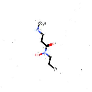 CC(C)CCN(O)C(=O)CCNC(=O)O